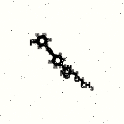 CCOCc1nc(-c2ccc(C#Cc3cccc(F)c3)cc2)no1